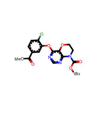 COC(=O)c1ccc(Cl)c(Oc2ncnc3c2OCCN3C(=O)OC(C)(C)C)c1